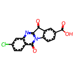 O=C(O)c1ccc2c(c1)C(=O)c1nc3cc(Cl)ccc3c(=O)n1-2